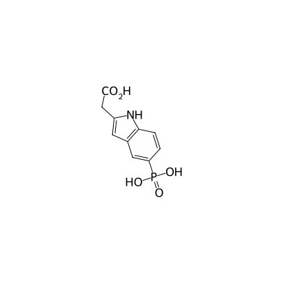 O=C(O)Cc1cc2cc(P(=O)(O)O)ccc2[nH]1